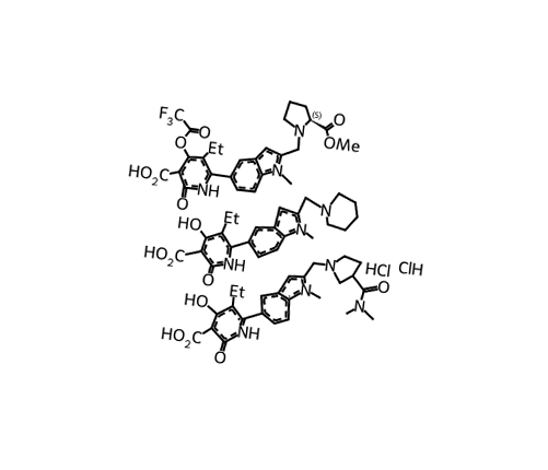 CCc1c(-c2ccc3c(c2)cc(CN2CCC(C(=O)N(C)C)C2)n3C)[nH]c(=O)c(C(=O)O)c1O.CCc1c(-c2ccc3c(c2)cc(CN2CCCCC2)n3C)[nH]c(=O)c(C(=O)O)c1O.CCc1c(-c2ccc3c(c2)cc(CN2CCC[C@H]2C(=O)OC)n3C)[nH]c(=O)c(C(=O)O)c1OC(=O)C(F)(F)F.Cl.Cl